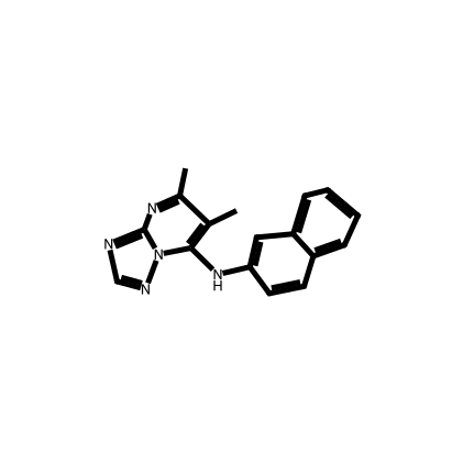 Cc1nc2ncnn2c(Nc2ccc3ccccc3c2)c1C